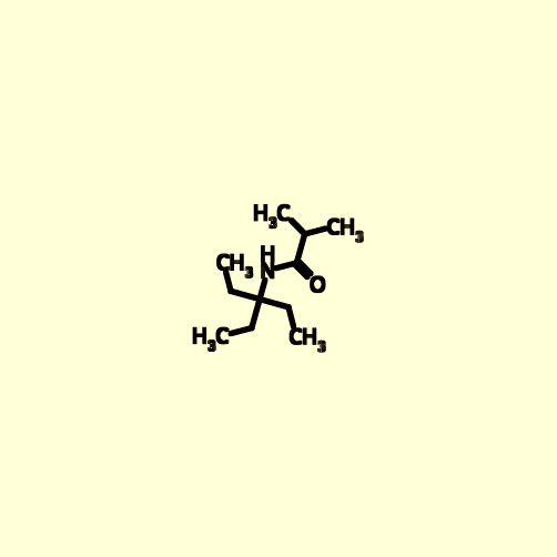 CCC(CC)(CC)NC(=O)C(C)C